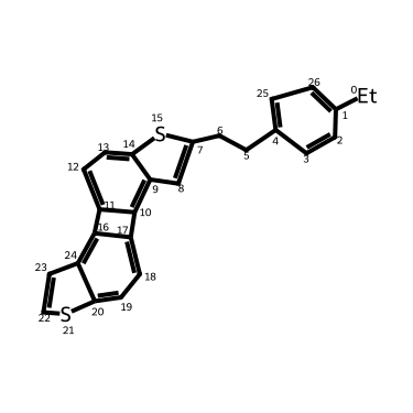 CCc1ccc(CCc2cc3c4c(ccc3s2)-c2c-4ccc3sccc23)cc1